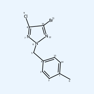 Cc1ccc(Cn2nc(Cl)c(Br)n2)cc1